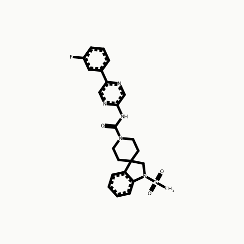 CS(=O)(=O)N1CC2(CCN(C(=O)Nc3cnc(-c4cccc(F)c4)cn3)CC2)c2ccccc21